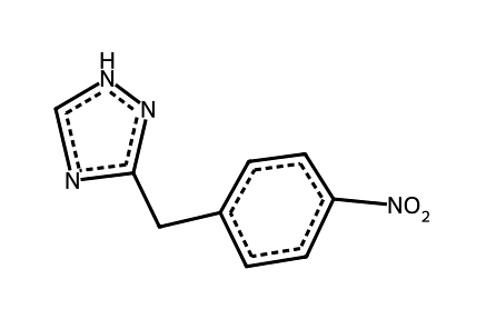 O=[N+]([O-])c1ccc(Cc2nc[nH]n2)cc1